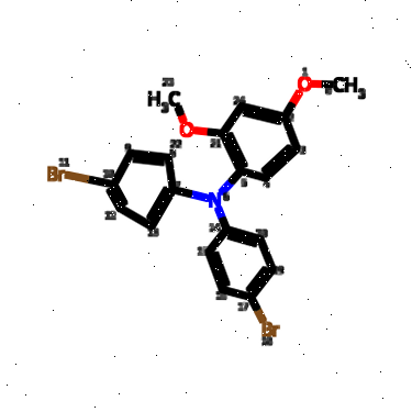 COc1ccc(N(c2ccc(Br)cc2)c2ccc(Br)cc2)c(OC)c1